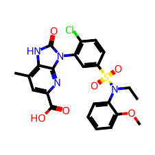 CCN(c1ccccc1OC)S(=O)(=O)c1ccc(Cl)c(-n2c(=O)[nH]c3c(C)cc(C(=O)O)nc32)c1